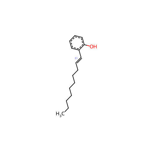 CCCCCCCC/C=C/c1ccccc1O